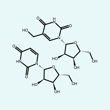 O=c1[nH]c(=O)n([C@@H]2O[C@H](CO)[C@@H](O)[C@H]2O)cc1CO.O=c1ccn([C@@H]2O[C@H](CO)[C@@H](O)[C@H]2O)c(=O)[nH]1